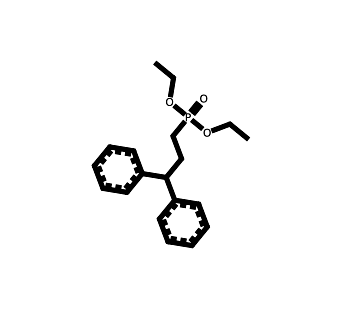 CCOP(=O)(CCC(c1ccccc1)c1ccccc1)OCC